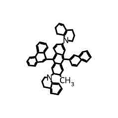 CC1C=c2c(-c3ccc4ccccc4c3)c3cc(N4CCCC5=C4CCC=C5)ccc3c(-c3cc4ccccc4c4ccccc34)c2=CC1N1CCCc2ccccc21